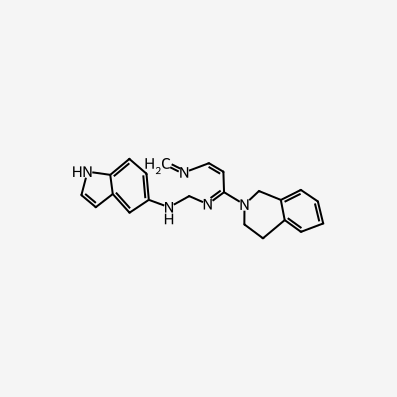 C=N/C=C\C(=N/CNc1ccc2[nH]ccc2c1)N1CCc2ccccc2C1